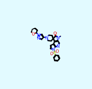 CN1C(=O)C2(CCN(c3cnn(C4CCCCO4)c3)CC2)c2c1cnc1c2ccn1S(=O)(=O)c1ccccc1